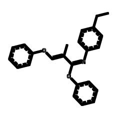 CCc1ccc(/N=C(Oc2ccccc2)\C(C)=C\Oc2ccccc2)cc1